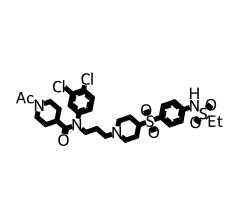 CCS(=O)(=O)Nc1ccc(S(=O)(=O)C2CCN(CCCN(C(=O)C3CCN(C(C)=O)CC3)c3ccc(Cl)c(Cl)c3)CC2)cc1